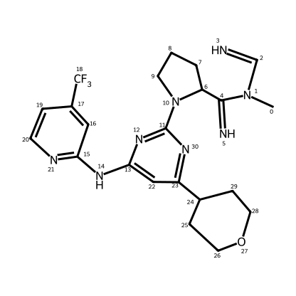 CN(C=N)C(=N)C1CCCN1c1nc(Nc2cc(C(F)(F)F)ccn2)cc(C2CCOCC2)n1